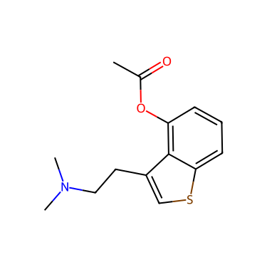 CC(=O)Oc1cccc2scc(CCN(C)C)c12